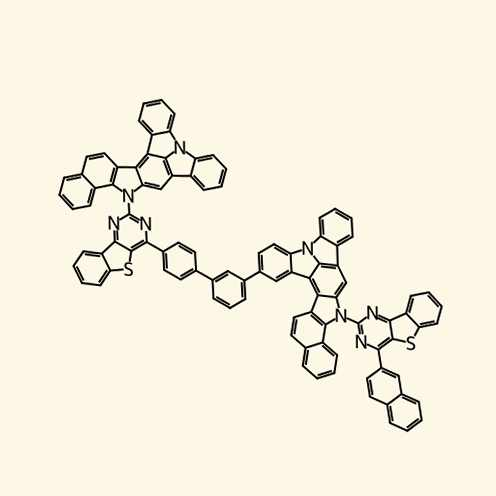 c1cc(-c2ccc(-c3nc(-n4c5cc6c7ccccc7n7c8ccccc8c(c5c5ccc8ccccc8c54)c67)nc4c3sc3ccccc34)cc2)cc(-c2ccc3c(c2)c2c4c5ccc6ccccc6c5n(-c5nc(-c6ccc7ccccc7c6)c6sc7ccccc7c6n5)c4cc4c5ccccc5n3c42)c1